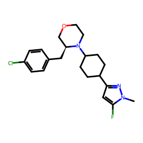 Cn1nc(C2CCC(N3CCOC[C@@H]3Cc3ccc(Cl)cc3)CC2)cc1F